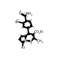 CCOC(=O)c1c(C)nn2c(CC)ccc2c1-c1ccc(C(N)=O)c(Br)c1